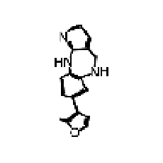 Cc1occc1-c1ccc2c(c1)NCc1cccnc1N2